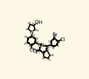 O=c1c2c(c(-c3ccc(Cl)c(Br)c3)nn1-c1cc(N3CCC(O)C3)ccc1C(F)(F)F)CCC2